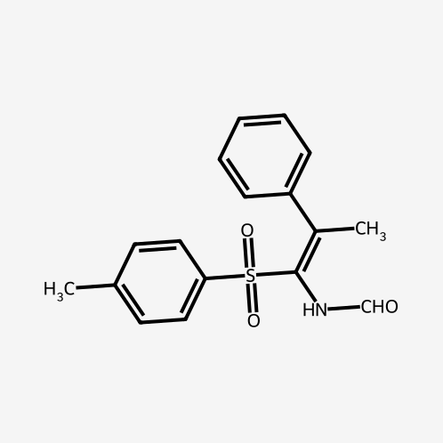 CC(=C(NC=O)S(=O)(=O)c1ccc(C)cc1)c1ccccc1